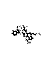 C[C@H](N)C(=O)N[C@@H](Cc1c[nH]c2ccccc12)C(=O)N[C@@H](CCCCN)C(=O)N1CCC[C@H]1C(=O)O